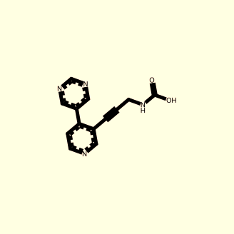 O=C(O)NCC#Cc1cnccc1-c1cncnc1